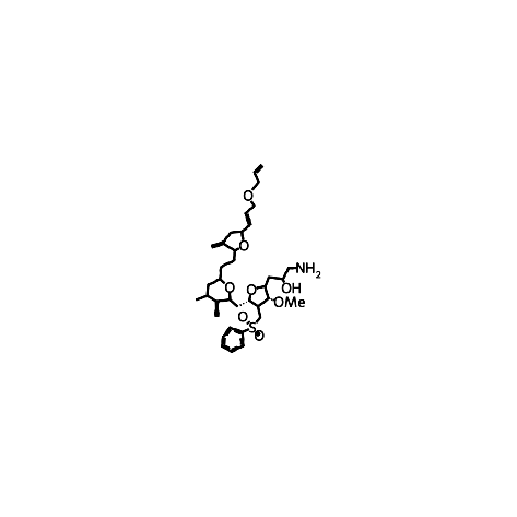 C=CCOC/C=C/C1CC(=C)C(CCC2CC(C)C(=C)C(C[C@@H]3OC(CC(O)CN)[C@H](OC)C3CS(=O)(=O)c3ccccc3)O2)O1